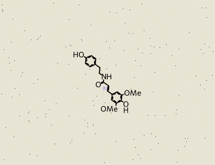 COc1cc(/C=C/C(=O)NCCc2ccc(O)cc2)cc(OC)c1O